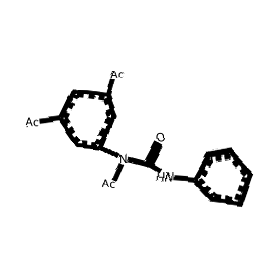 CC(=O)c1cc(C(C)=O)cc(N(C(C)=O)C(=O)Nc2ccccc2)c1